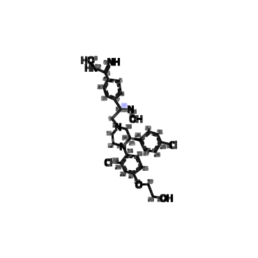 N=C(NO)c1ccc(/C(CN2CCN(c3ccc(OCCO)cc3Cl)[C@H](c3ccc(Cl)cc3)C2)=N/O)cc1